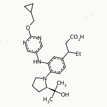 CCC(CC(=O)O)c1ccc(N2CCC[C@@H]2C(C)(C)O)c(Nc2cnc(OCC3CC3)nc2)c1